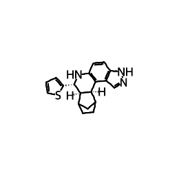 c1csc([C@@H]2Nc3ccc4[nH]ncc4c3[C@H]3C4CCC(C4)[C@@H]23)c1